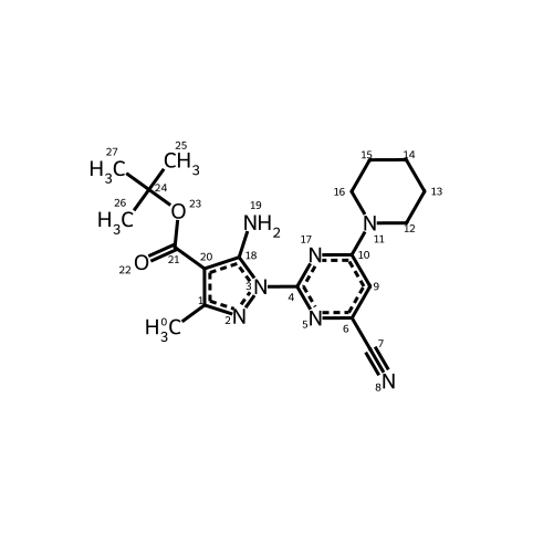 Cc1nn(-c2nc(C#N)cc(N3CCCCC3)n2)c(N)c1C(=O)OC(C)(C)C